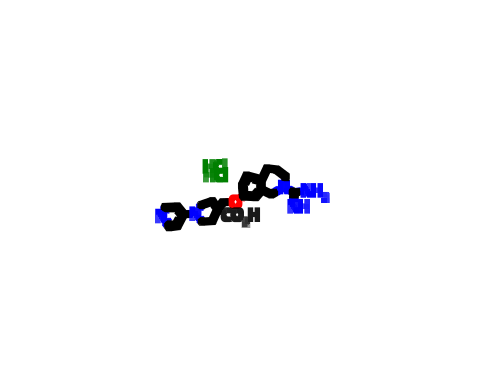 Cl.Cl.N=C(N)N1CCCc2ccc(OCC3(C(=O)O)CCN(c4ccncc4)CC3)cc2C1